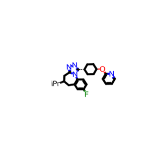 CC(C)C1Cc2cc(F)ccc2-n2c(nnc2[C@H]2CC[C@H](Oc3ccccn3)CC2)C1